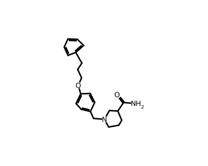 NC(=O)C1CCCN(Cc2ccc(OCCCc3ccccc3)cc2)C1